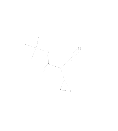 CC(C)(C)OC(=O)C(C#N)C1CC1